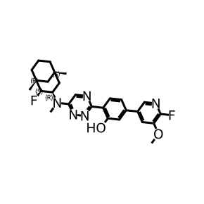 COc1cc(-c2ccc(-c3ncc(N(C)[C@@H]4C[C@@]5(C)CCC[C@](C)(C5)[C@@H]4F)nn3)c(O)c2)cnc1F